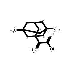 C=C(C(=O)O)C12CC3CC(C)(CC(C)(C3)C1)C2